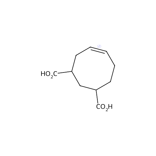 O=C(O)C1C/C=C\CCC(C(=O)O)C1